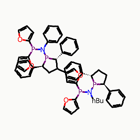 CCCCN(P(c1ccco1)c1cc(C2C[C@@H](c3ccccc3)P(N(c3ccccc3)P(c3ccco3)c3ccco3)[C@@H]2c2ccccc2)co1)P1[C@H](c2ccccc2)CC[C@H]1c1ccccc1